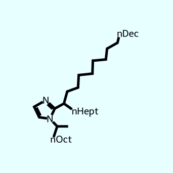 CCCCCCCCCCCCCCCCCCC(CCCCCCC)c1nccn1C(C)CCCCCCCC